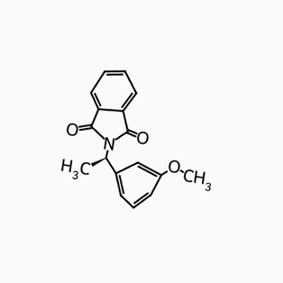 COc1cccc([C@@H](C)N2C(=O)c3ccccc3C2=O)c1